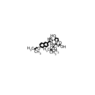 CC(C)COc1ccc2cc(-c3noc([C@@H]4[C@@H](O)CCN4/C(=N\C(=O)O)NC(=O)OC(C)(C)C)n3)ccc2c1